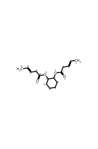 CC=CCC(=O)OC1CCCCC1OC(=O)CC=CC